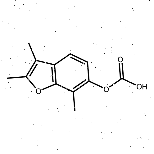 Cc1oc2c(C)c(OC(=O)O)ccc2c1C